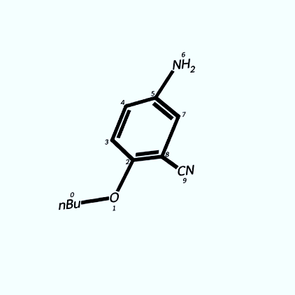 CCCCOc1ccc(N)cc1C#N